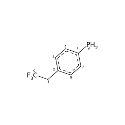 FC(F)(F)Cc1ccc(P)cc1